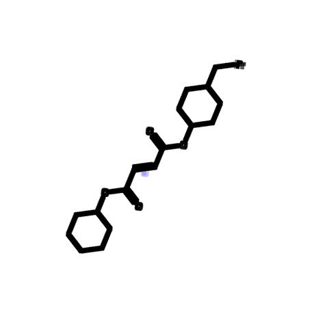 CC(C)CC1CCC(OC(=O)/C=C/C(=O)OC2CCCCC2)CC1